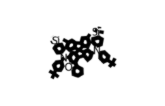 Cc1ccc2c(c1)-c1cc(C)ccc1C21c2cc(N(c3ccc(C(C)(C)C)cc3)c3ccc([Si](C)(C)C)cc3)ccc2-c2c1cc(N(c1ccc(C(C)(C)C)cc1)c1ccc([Si](C)(C)C)cc1)c1oc3ccccc3c21